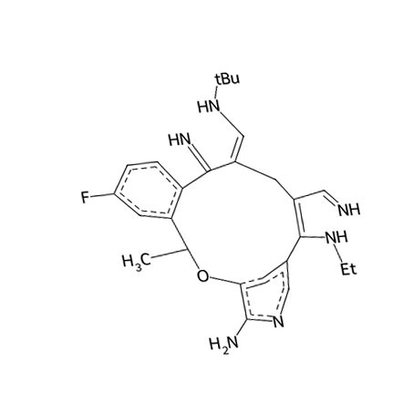 CCN/C1=C(\C=N)C/C(=C/NC(C)(C)C)C(=N)c2ccc(F)cc2C(C)Oc2cc1cnc2N